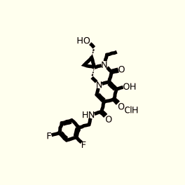 CCN1C(=O)c2c(O)c(=O)c(C(=O)NCc3ccc(F)cc3F)cn2C[C@@]12C[C@@H]2CO.Cl